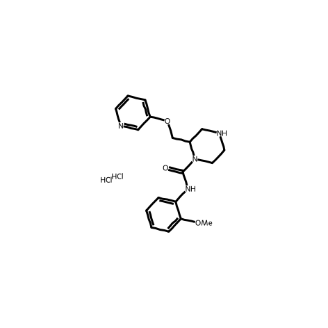 COc1ccccc1NC(=O)N1CCNCC1COc1cccnc1.Cl.Cl